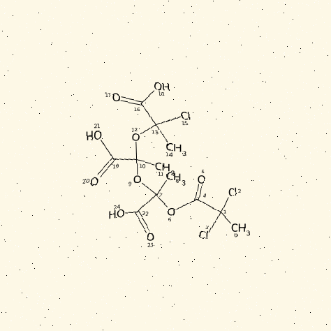 CC(Cl)(Cl)C(=O)OC(C)(OC(C)(OC(C)(Cl)C(=O)O)C(=O)O)C(=O)O